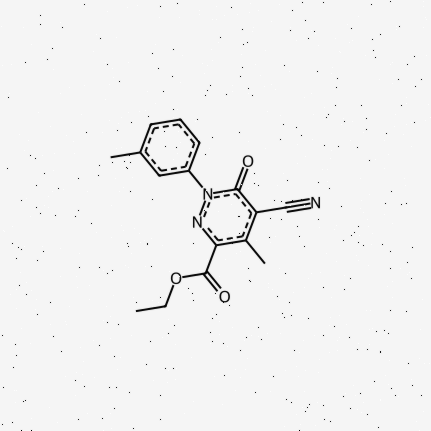 CCOC(=O)c1nn(-c2cccc(C)c2)c(=O)c(C#N)c1C